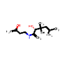 C=C(O)CCNC(=C)[C@H](O)C(C)(C)CC(C)C